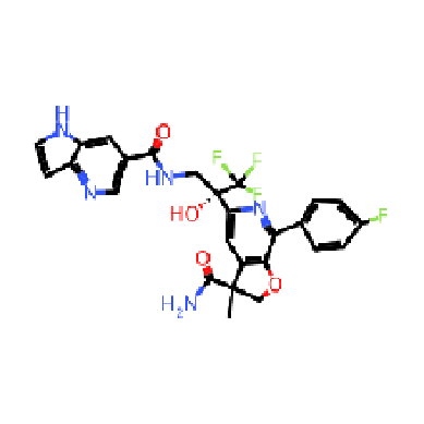 C[C@]1(C(N)=O)COc2c1cc([C@@](O)(CNC(=O)c1cnc3cc[nH]c3c1)C(F)(F)F)nc2-c1ccc(F)cc1